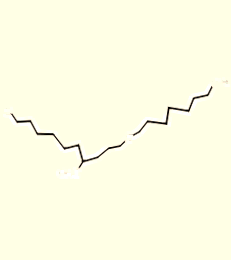 CCCCCCCCCCCCCCCCCCCCCC(C=O)CCCCCCCl